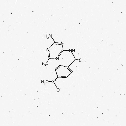 CC(Nc1nc(N)nc(C(F)(F)F)n1)c1ccc([S+](C)[O-])cc1